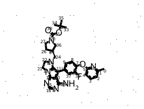 Cc1cccc(Oc2ccc(-c3c4n(c5ncnc(N)c35)CCN4C[C@H]3CCN(C(=O)OC(C)(C)C)C3)cc2F)n1